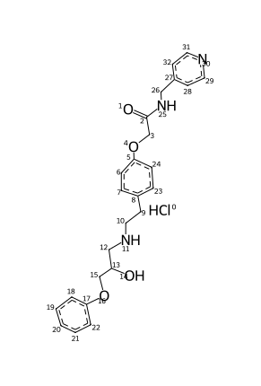 Cl.O=C(COc1ccc(CCNCC(O)COc2ccccc2)cc1)NCc1ccncc1